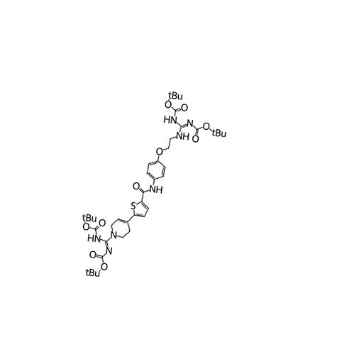 CC(C)(C)OC(=O)/N=C(\NCCOc1ccc(NC(=O)c2ccc(C3=CCN(/C(=N/C(=O)OC(C)(C)C)NC(=O)OC(C)(C)C)CC3)s2)cc1)NC(=O)OC(C)(C)C